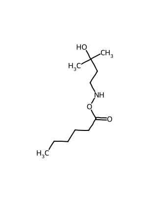 CCCCCC(=O)ONCCC(C)(C)O